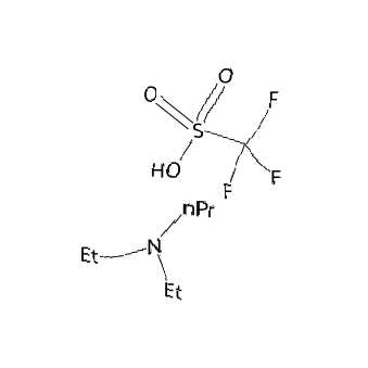 CCCN(CC)CC.O=S(=O)(O)C(F)(F)F